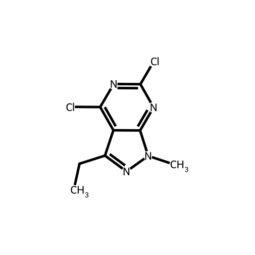 CCc1nn(C)c2nc(Cl)nc(Cl)c12